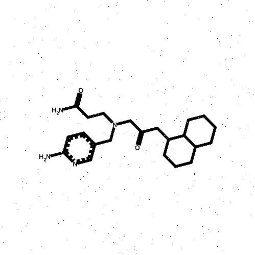 NC(=O)CCN(CC(=O)CC1CCCC2CCCCC21)Cc1ccc(N)nc1